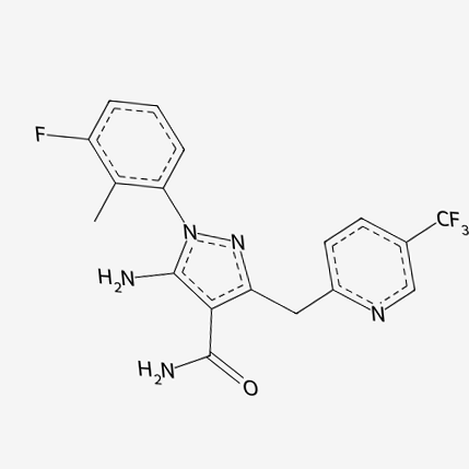 Cc1c(F)cccc1-n1nc(Cc2ccc(C(F)(F)F)cn2)c(C(N)=O)c1N